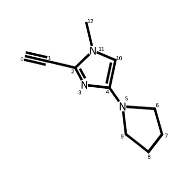 C#Cc1nc(N2CCCC2)cn1C